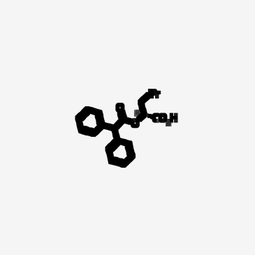 CC(C)C[C@@H](OC(=O)C(c1ccccc1)c1ccccc1)C(=O)O